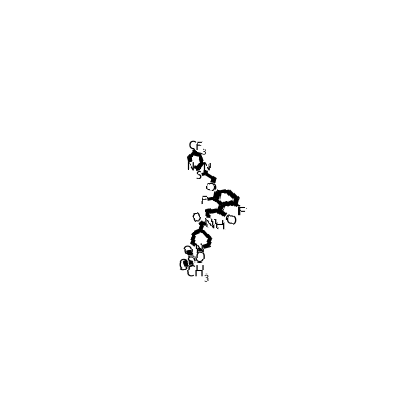 CS(=O)(=O)ON1CCC(C(=O)NCC(=O)c2c(F)ccc(OCc3nc4cc(C(F)(F)F)cnc4s3)c2F)CC1